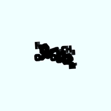 C[C@@H](c1ccc(Br)cc1)N1CC[C@@](CCC=O)(c2ccc(F)cc2)OC1=O